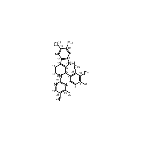 Cc1ccc(C2c3[nH]c4cc(F)c(Cl)cc4c3CCN2c2ncc(F)c(C)n2)c(F)c1F